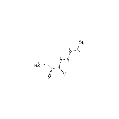 CCC(=O)N(C)OOOSC